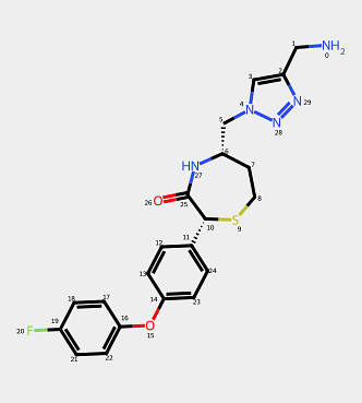 NCc1cn(C[C@@H]2CCS[C@H](c3ccc(Oc4ccc(F)cc4)cc3)C(=O)N2)nn1